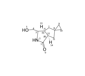 O=C1NC(CO)[C@H]2CC3(CC3)C[C@@H]12